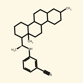 CC1CCC2C(CCC3C2CCC2(C)C3CCCC2[C@H](C)Nc2cccc(C#N)c2)C1